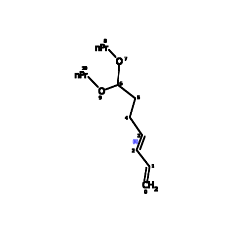 C=C/C=C/CCC(OCCC)OCCC